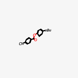 [C-]#[N+]c1ccc(C(=O)Oc2ccc(CCCC)cc2)cc1